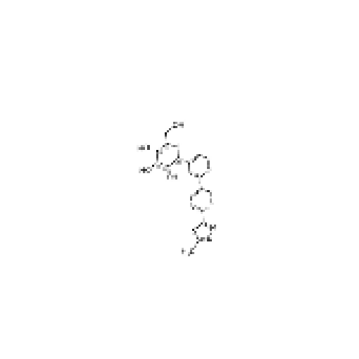 Cc1nnc(-c2ccc(-c3cccc([C@H]4O[C@H](CO)[C@@H](O)[C@H](O)[C@@H]4O)c3)cc2)s1